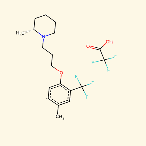 Cc1[c]cc(OCCCN2CCCC[C@H]2C)c(C(F)(F)F)c1.O=C(O)C(F)(F)F